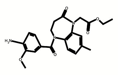 CCOC(=O)CN1C(=O)CCN(C(=O)c2ccc(N)c(OC)c2)c2ccc(C)cc21